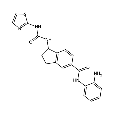 Nc1ccccc1NC(=O)c1ccc2c(c1)CCC2NC(=O)Nc1nccs1